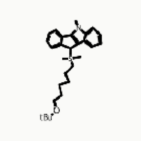 Cn1c2c(c3ccccc31)C(S(C)(C)CCCCCCOC(C)(C)C)c1ccccc1-2